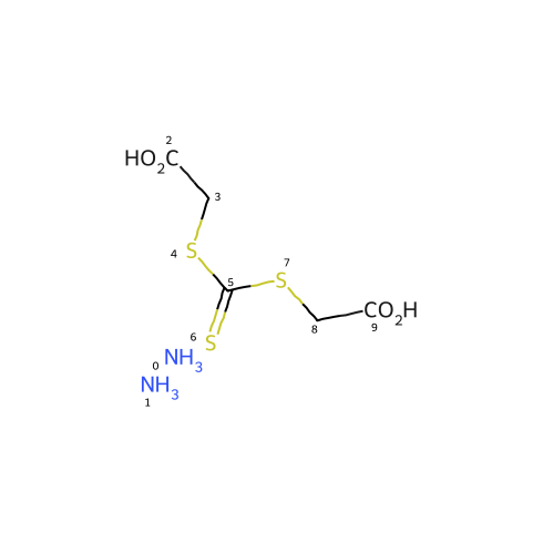 N.N.O=C(O)CSC(=S)SCC(=O)O